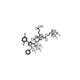 CC(=O)N(CC(CNC(=O)OCC[Si](C)(C)C)NC(=O)CCC(=O)O)C(c1cc(-c2cc(F)ccc2F)cn1Cc1ccccc1)C(C)(C)C